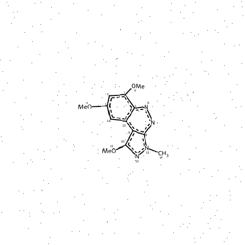 COc1cc(OC)c2nnc3c(c(OC)nn3C)c2c1